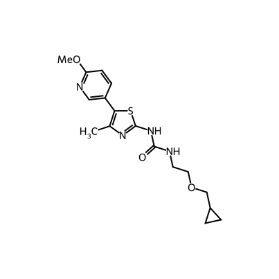 COc1ccc(-c2sc(NC(=O)NCCOCC3CC3)nc2C)cn1